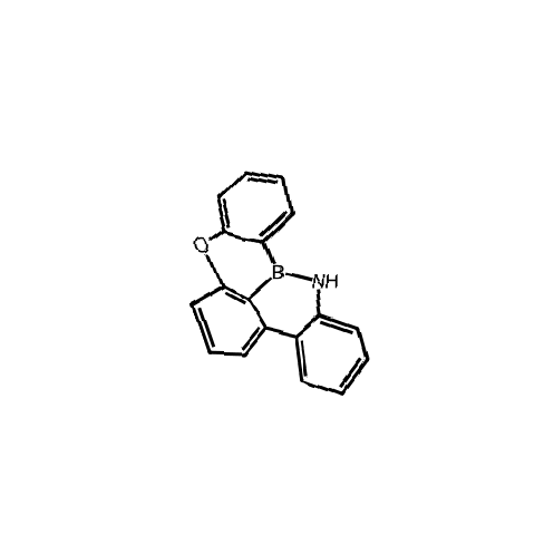 c1ccc2c(c1)NB1c3ccccc3Oc3cccc-2c31